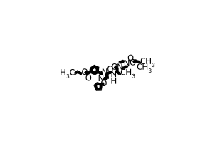 CCCCOC(=O)c1cccc(-c2nc(OC3CCCC3)cc(C(=O)NC(CC)C(=O)N3CCN(C(=O)OCC(C)C)CC3)n2)c1